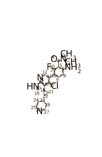 CN(C)C(=O)c1c(N)ccc(-c2cnc3c(c2Cl)[C@@]2(CN3)C[C@@H]2C2C=CN=CC2)c1F